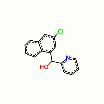 OC(c1ccccn1)c1cc(Cl)cc2ccccc12